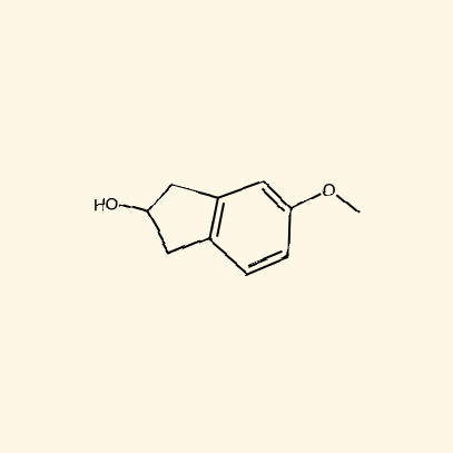 COc1ccc2c(c1)CC(O)C2